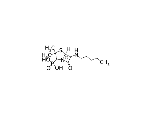 CCCCCNC1C(=O)N2C(P(=O)(O)O)C(C)(C)S[C@@H]12